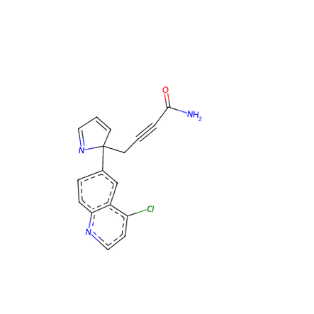 NC(=O)C#CCC1(c2ccc3nccc(Cl)c3c2)C=CC=N1